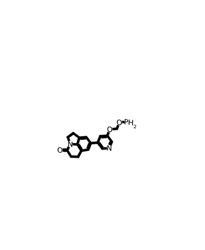 O=C1CCc2cc(-c3cncc(OCOP)c3)cc3c2N1CC3